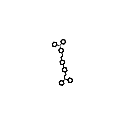 C(=C\c1ccc(N(c2ccccc2)c2ccccc2)cc1)/c1ccc(-c2ccc(/C=C/N(c3ccccc3)c3ccccc3)cc2)cc1